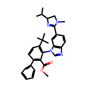 COC(=O)c1c(-c2ccccc2)ccc(C(C)(C)C)c1-n1cnc2ccc(C3=NC(C(C)C)CN3C)cc21